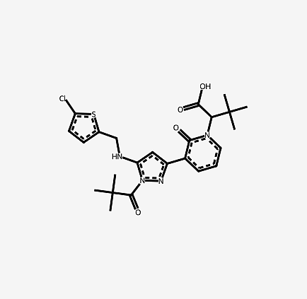 CC(C)(C)C(=O)n1nc(-c2cccn(C(C(=O)O)C(C)(C)C)c2=O)cc1NCc1ccc(Cl)s1